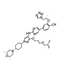 C[C@@H]1CN([C@H]2CC[C@H](n3cc(Nc4ncc(-c5ccc(C#N)c(O[C@@H](C)Cn6cnnn6)c5)cn4)c(OCCCOCC(F)F)n3)CC2)C[C@H](C)O1